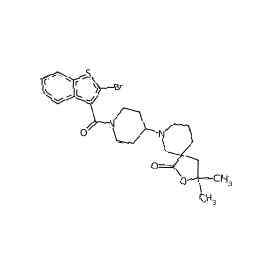 CC1(C)CC2(CCCN(C3CCN(C(=O)c4c(Br)sc5ccccc45)CC3)C2)C(=O)O1